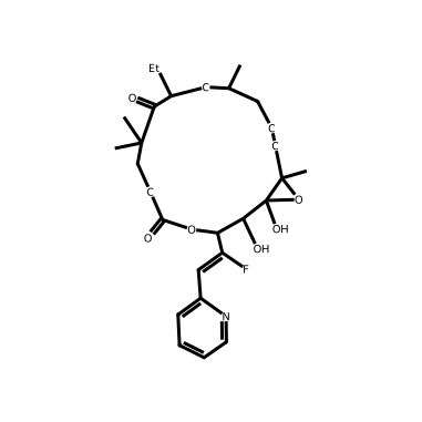 CCC1CC(C)CCCC2(C)OC2(O)C(O)C(C(F)=Cc2ccccn2)OC(=O)CCC(C)(C)C1=O